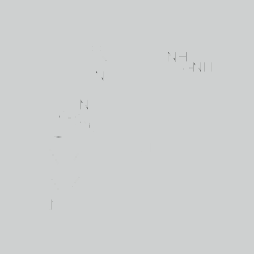 Cl.N=CNC1CCC(C(=O)N2CCN(S(=O)(=O)c3ccc4cc(Cl)ccc4c3)CC2)CC1